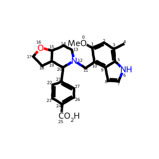 COc1cc(C)c2[nH]ccc2c1CN1CCC2OCCC2C1c1ccc(C(=O)O)cc1